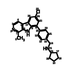 Cc1nccc2c1[nH]c1c(-c3ccc(CNC4CCCC4)cc3)cc(Cl)cc12